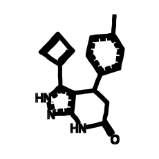 Cc1ccc(C2CC(=O)Nc3n[nH]c(C4=CC=C4)c32)cc1